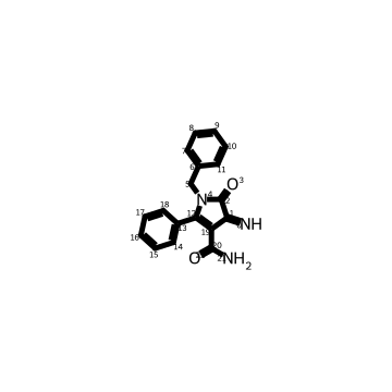 N=C1C(=O)N(Cc2ccccc2)C(c2ccccc2)=C1C(N)=O